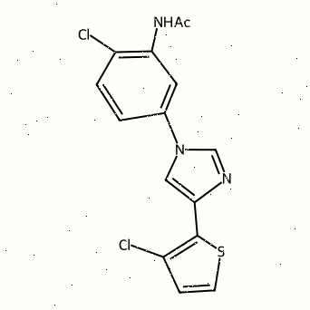 CC(=O)Nc1cc(-n2cnc(-c3sccc3Cl)c2)ccc1Cl